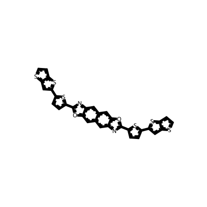 c1cc2sc(-c3ccc(-c4nc5cc6cc7oc(-c8ccc(-c9cc%10sccc%10s9)s8)nc7cc6cc5o4)s3)cc2s1